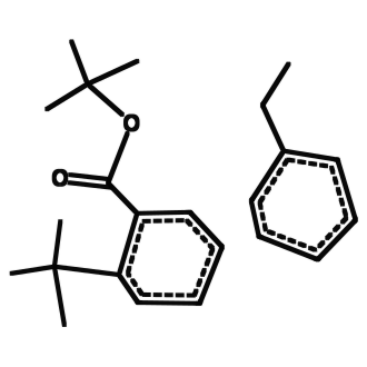 CC(C)(C)OC(=O)c1ccccc1C(C)(C)C.CCc1ccccc1